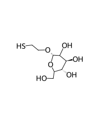 OCC1O[C@H](OCCS)C(O)[C@@H](O)[C@@H]1O